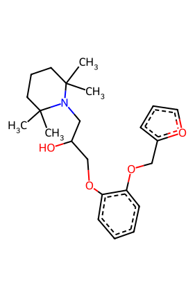 CC1(C)CCCC(C)(C)N1CC(O)COc1ccccc1OCc1ccco1